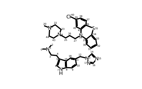 CN(C)CCc1c[nH]c2ccc(Cn3cncn3)cc12.CN1CCN(CCCN2c3ccccc3Sc3ccc(Cl)cc32)CC1